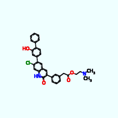 CN(C)CCOC(=O)Cc1cccc(-c2cc3cc(-c4ccc(-c5ccccc5)c(O)c4)c(Cl)cc3[nH]c2=O)c1